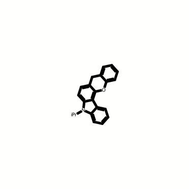 CC(C)n1c2ccccc2c2c3c(ccc21)Cc1ccccc1O3